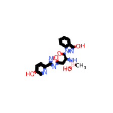 CB(O)NC(Cc1nc(-c2ccc(O)cn2)no1)C(=O)n1nc(O)c2ccccc21